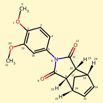 COc1ccc(N2C(=O)[C@@H]3[C@H](C2=O)[C@@H]2C=C[C@H]3C2)cc1OC